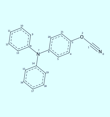 N#COc1ccc(N(c2ccccc2)c2ccccc2)cc1